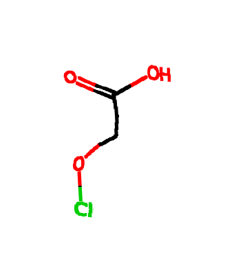 O=C(O)COCl